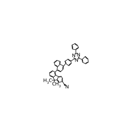 CC1(C)c2cc(C#N)ccc2-c2c(-c3ccc(-c4ccc(-c5nc(-c6ccccc6)nc(-c6ccccc6)n5)cc4)c4ccccc34)cccc21